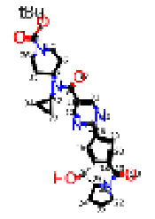 CC(C)(C)OC(=O)N1CCC(N(C(=O)c2cnc(-c3ccc(C(=O)N4CCC[C@@H]4CO)cc3)nc2)C2CC2)CC1